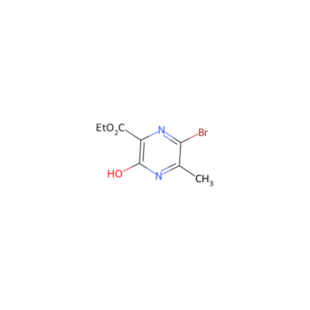 CCOC(=O)c1nc(Br)c(C)nc1O